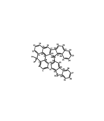 CC1(C)c2ccccc2-c2c3c1cccc3cc1c3ccc4ccccc4c3n(-c3ccc4sc5ccccc5c4c3)c21